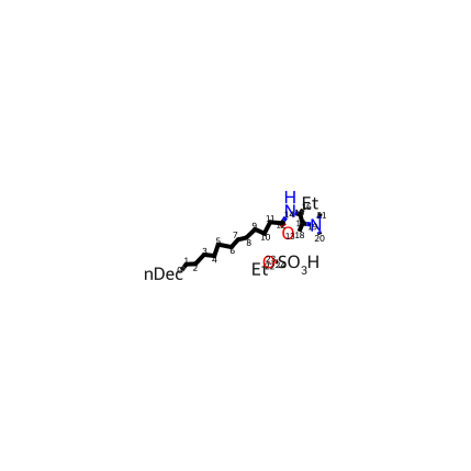 CCCCCCCCCCCCCCCCCCCCCC(=O)NC(CC)C(C)N(C)C.CCOS(=O)(=O)O